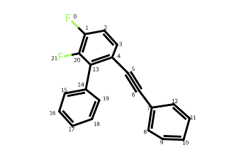 Fc1ccc(C#Cc2ccccc2)c(-c2ccccc2)c1F